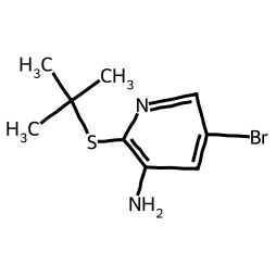 CC(C)(C)Sc1ncc(Br)cc1N